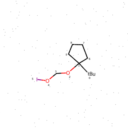 CC(C)(C)C1(OCOI)CCCC1